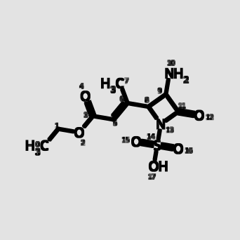 CCOC(=O)C=C(C)C1C(N)C(=O)N1S(=O)(=O)O